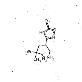 CCCC(C)(C)CC(CN)c1noc(=O)[nH]1